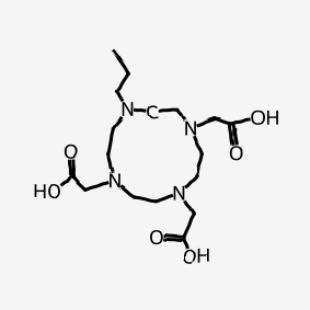 CCCN1CCN(CC(=O)O)CCN(CC(=O)O)CCN(CC(=O)O)CC1